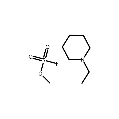 CCN1CCCCC1.COS(=O)(=O)F